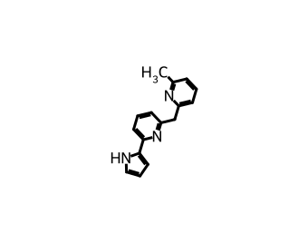 Cc1cccc(Cc2cccc(-c3ccc[nH]3)n2)n1